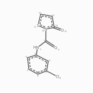 O=C(Nc1cccc(Cl)c1)n1sccc1=O